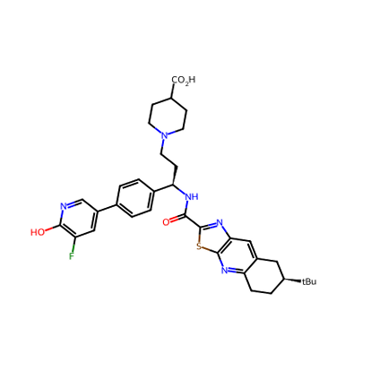 CC(C)(C)[C@H]1CCc2nc3sc(C(=O)N[C@H](CCN4CCC(C(=O)O)CC4)c4ccc(-c5cnc(O)c(F)c5)cc4)nc3cc2C1